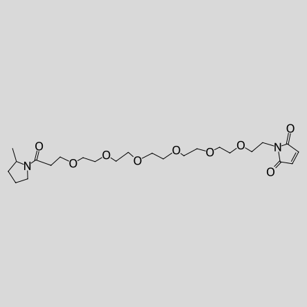 CC1CCCN1C(=O)CCOCCOCCOCCOCCOCCOCCN1C(=O)C=CC1=O